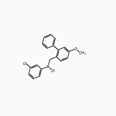 COc1ccc(CN(Cl)c2cccc(Cl)c2)c(-c2ccccc2)c1